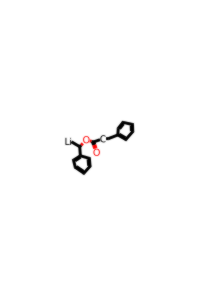 [Li][CH](OC(=O)CCc1ccccc1)c1ccccc1